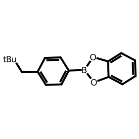 CC(C)(C)Cc1ccc(B2Oc3ccccc3O2)cc1